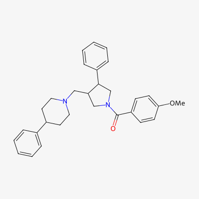 COc1ccc(C(=O)N2CC(CN3CCC(c4ccccc4)CC3)C(c3ccccc3)C2)cc1